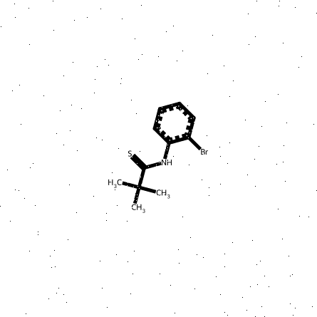 CC(C)(C)C(=S)Nc1ccccc1Br